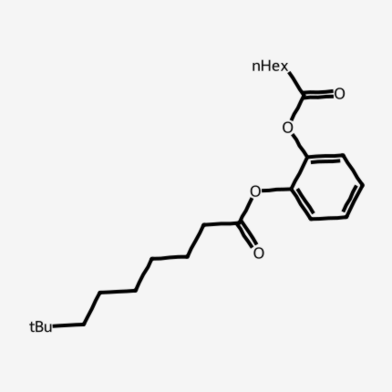 CCCCCCC(=O)Oc1ccccc1OC(=O)CCCCCCC(C)(C)C